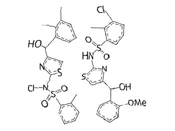 COc1ccccc1C(O)c1csc(NS(=O)(=O)c2cccc(Cl)c2C)n1.Cc1ccccc1S(=O)(=O)N(Cl)c1nc(C(O)c2cccc(C)c2C)cs1